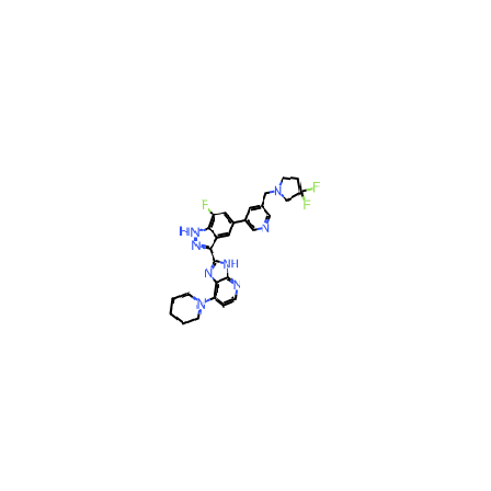 Fc1cc(-c2cncc(CN3CCC(F)(F)C3)c2)cc2c(-c3nc4c(N5CCCCC5)ccnc4[nH]3)n[nH]c12